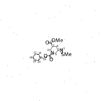 COC(=O)[C@H]1CC(N(C)SC)CN(C(=O)OCc2ccccc2)C1